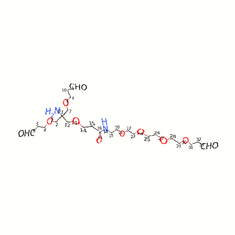 NC(COCCC=O)(COCCC=O)COCCC(=O)NCCOCCOCCOCCOCCC=O